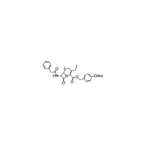 COc1ccc(COC(=O)C2=C(CI)CSC3C(NC(=O)Cc4ccccc4)C(=O)N23)cc1